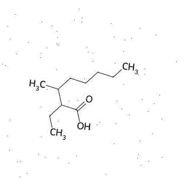 CCCCCC(C)C(CC)C(=O)O